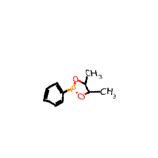 CC1OP(c2ccccc2)OC1C